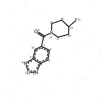 O=C(c1ccc2nonc2c1)N1CCC(F)CC1